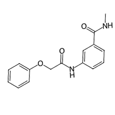 CNC(=O)c1cccc(NC(=O)COc2ccccc2)c1